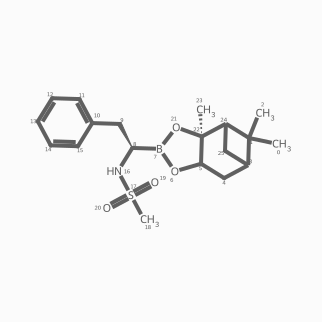 CC1(C)C2CC3OB([C@H](Cc4ccccc4)NS(C)(=O)=O)O[C@@]3(C)C1C2